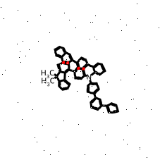 CC1(C)c2ccccc2-c2c(-c3ccc(N(c4ccc(-c5cccc(-c6ccccc6)c5)cc4)c4ccccc4-c4ccc(-c5ccc6ccccc6c5)cc4)cc3)cccc21